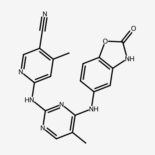 Cc1cc(Nc2ncc(C)c(Nc3ccc4oc(=O)[nH]c4c3)n2)ncc1C#N